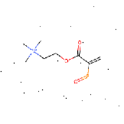 C=C(P=O)C(=O)OCC[N+](C)(C)C